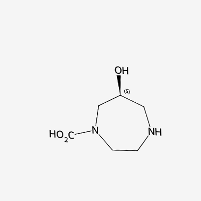 O=C(O)N1CCNC[C@H](O)C1